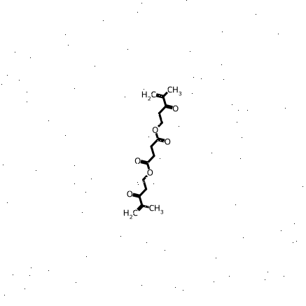 C=C(C)C(=O)CCOC(=O)CCC(=O)OCCC(=O)C(=C)C